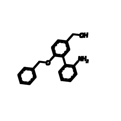 Nc1ccccc1-c1cc(CO)ccc1OCc1ccccc1